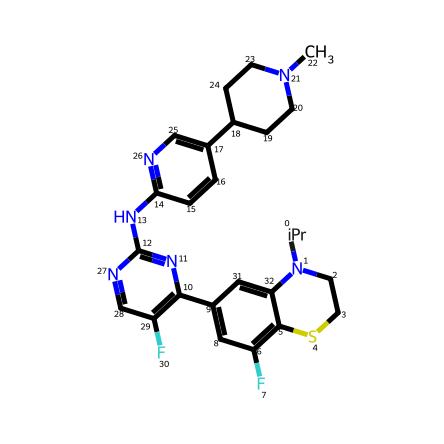 CC(C)N1CCSc2c(F)cc(-c3nc(Nc4ccc(C5CCN(C)CC5)cn4)ncc3F)cc21